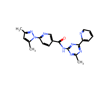 Cc1cc(C)n(-c2ccc(C(=O)Nc3nc(C)nc(-c4ccccn4)n3)cn2)n1